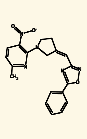 Cc1ccc([N+](=O)[O-])c(N2CCC(=Cc3noc(-c4ccccc4)n3)C2)n1